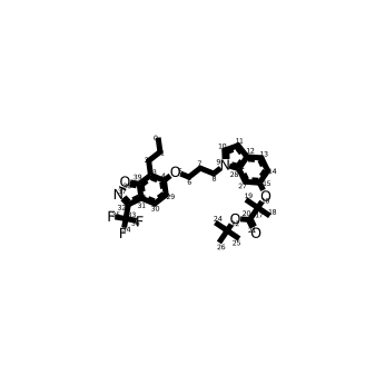 CCCc1c(OCCCn2ccc3ccc(OC(C)(C)C(=O)OC(C)(C)C)cc32)ccc2c(C(F)(F)F)noc12